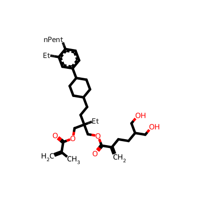 C=C(C)C(=O)OCC(CC)(CCC1CCC(c2ccc(CCCCC)c(CC)c2)CC1)COC(=O)C(=C)CCC(CO)CO